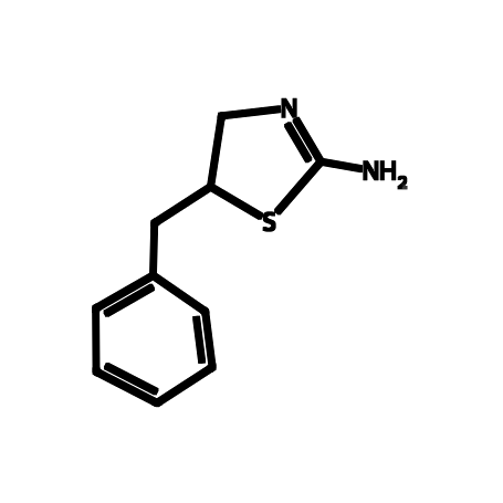 NC1=NCC(Cc2ccccc2)S1